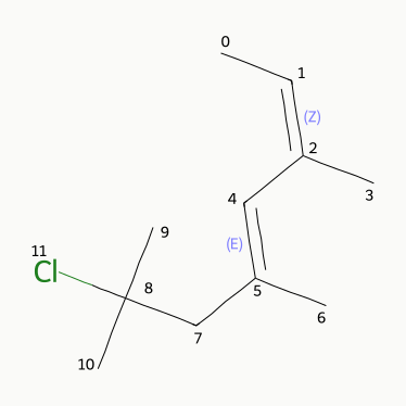 C/C=C(C)\C=C(/C)CC(C)(C)Cl